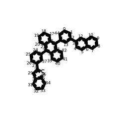 c1cc(-c2ccc3ccccc3c2)cc(-c2c3ccccc3c(-c3cccc(-c4cc5ccccc5s4)c3)c3ccccc23)c1